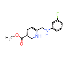 COC(=O)C1=CC=C(CNc2cccc(F)c2)NC1